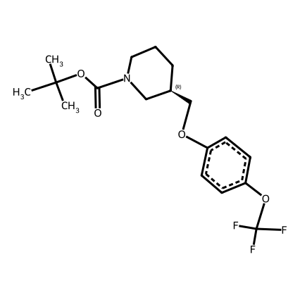 CC(C)(C)OC(=O)N1CCC[C@@H](COc2ccc(OC(F)(F)F)cc2)C1